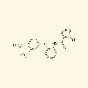 CCOC(=O)c1ccc(Oc2ccccc2NC(=O)c2ccsc2Cl)cc1C(=O)O